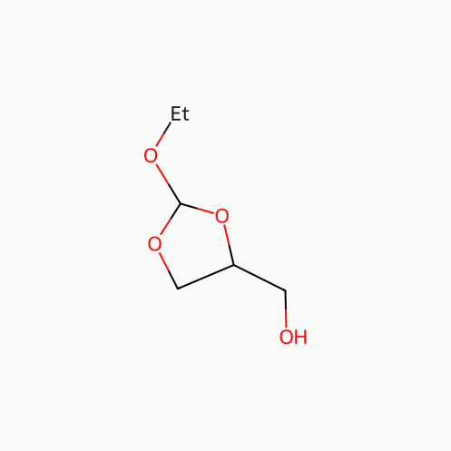 CCOC1OCC(CO)O1